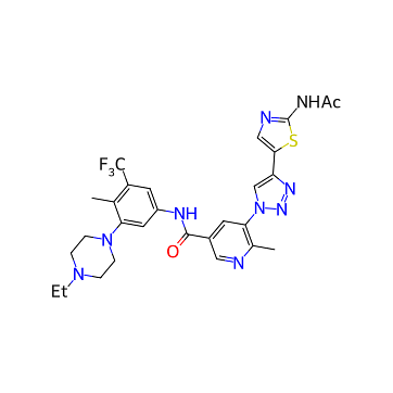 CCN1CCN(c2cc(NC(=O)c3cnc(C)c(-n4cc(-c5cnc(NC(C)=O)s5)nn4)c3)cc(C(F)(F)F)c2C)CC1